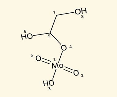 [O]=[Mo](=[O])([OH])[O]C(O)CO